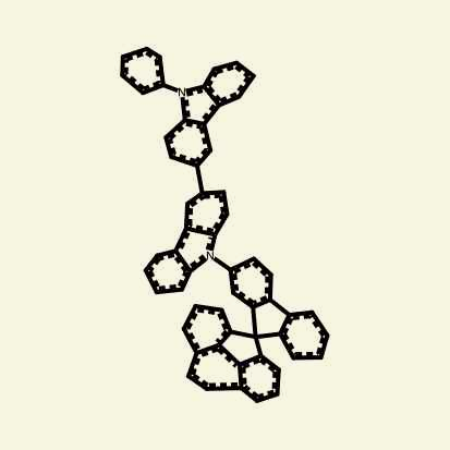 c1ccc(-n2c3ccccc3c3cc(-c4ccc5c(c4)c4ccccc4n5-c4ccc5c(c4)C4(c6ccccc6-5)c5cccc6ccc7cccc4c7c56)ccc32)cc1